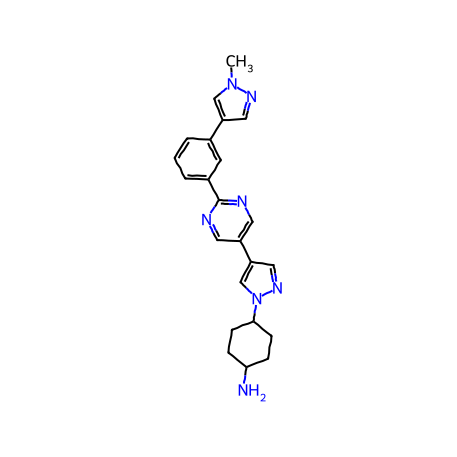 Cn1cc(-c2cccc(-c3ncc(-c4cnn(C5CCC(N)CC5)c4)cn3)c2)cn1